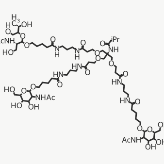 CC(=O)NC1C(OCCCCC(=O)NCCCNC(=O)CCOCC(COCCC(=O)NCCCNC(=O)CCCCOC2OC(CO)C(O)C(O)C2NC(C)=O)(COCCC(=O)NCCCNC(=O)CCCCOC(OC(CO)[C@@H](C)O)[C@H](CO)NC(C)=O)NC(=O)C(C)C)OC(CO)C(O)C1O